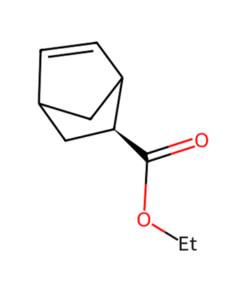 CCOC(=O)[C@H]1CC2C=CC1C2